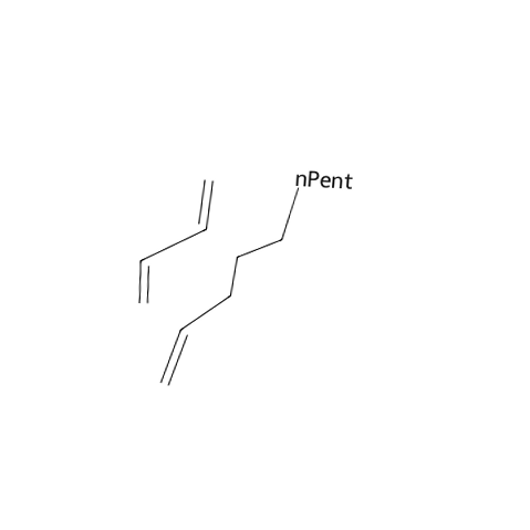 C=CC=C.C=CCCCCCCCC